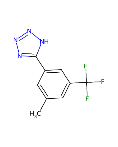 Cc1cc(-c2nnn[nH]2)cc(C(F)(F)F)c1